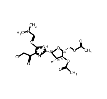 CC(=O)OC[C@H]1O[C@@H](c2nc(C(=O)CCl)c(N=CN(C)C)[nH]2)[C@@H](F)[C@@H]1OC(C)=O